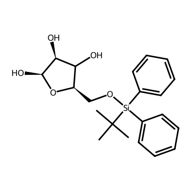 CC(C)(C)[Si](OC[C@H]1O[C@@H](O)[C@@H](O)C1O)(c1ccccc1)c1ccccc1